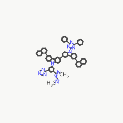 C=N/C(=N\C=N/C)c1cc(-c2ncncn2)cc(-n2c3ccc(-c4ccc5c(c4)c4cc(-c6cccc7ccccc67)ccc4n5-c4nc(-c5ccccc5)nc(-c5ccccc5)n4)cc3c3cc(-c4cccc5ccccc45)ccc32)c1